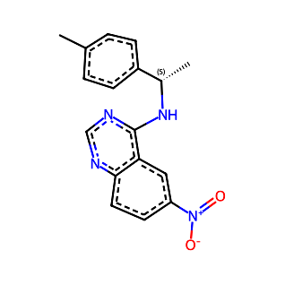 Cc1ccc([C@H](C)Nc2ncnc3ccc([N+](=O)[O-])cc23)cc1